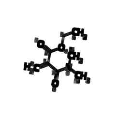 C=C(C(=O)OCC)C(=O)N(C)C